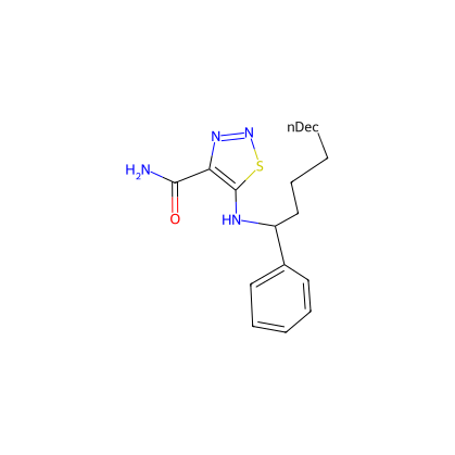 CCCCCCCCCCCCCC(Nc1snnc1C(N)=O)c1ccccc1